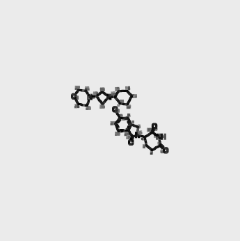 O=C1CCC(N2Cc3cc(O[C@H]4CCCC[C@@H]4N4CC(N5CCOCC5)C4)ccc3C2=O)C(=O)N1